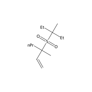 C=CC(C)(CCC)S(=O)(=O)C(C)(CC)CC